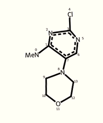 CNc1nc(Cl)ncc1N1CCOCC1